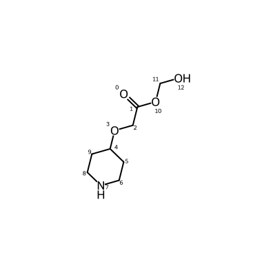 O=C(COC1CCNCC1)OCO